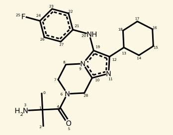 CC(C)(N)C(=O)N1CCn2c(nc(C3CCCCC3)c2Nc2ccc(F)cc2)C1